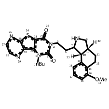 CCCCn1c(=O)n(CCC2NC[C@@H]3CCc4c(OC)cccc4[C@H]23)c(=O)c2sc3nccnc3c21